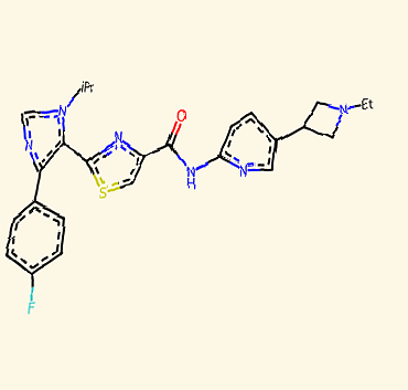 CCN1CC(c2ccc(NC(=O)c3csc(-c4c(-c5ccc(F)cc5)ncn4C(C)C)n3)nc2)C1